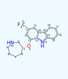 FC(F)(F)c1cc(O[C@@H]2CCCCNC2)c2[nH]c3ccccc3c2c1